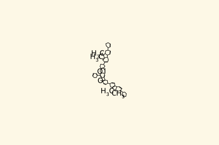 CC1(C)C2=C(C=CC(C3C=Cc4oc5c(c4C3)=CCC(OC3=C(I)CC(C4=CCC6C(=C4)C(C)(C)C4CC(C7C=CCCC7)C=CC64)CC3)C=5C3=CC=CCC3)C2)C2C=CC(C3C=CCCC3)CC21